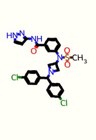 CS(=O)(=O)N(c1cccc(C(=O)Nc2cc[nH]n2)c1)C1CN(C(c2ccc(Cl)cc2)c2ccc(Cl)cc2)C1